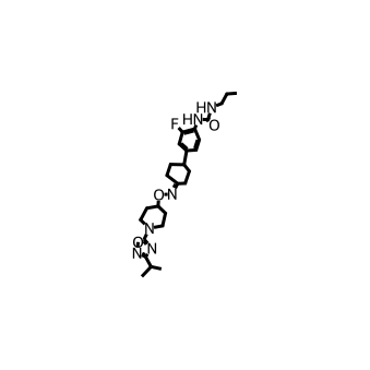 CCCNC(=O)Nc1ccc(C2CCC(=NOC3CCN(c4nc(C(C)C)no4)CC3)CC2)cc1F